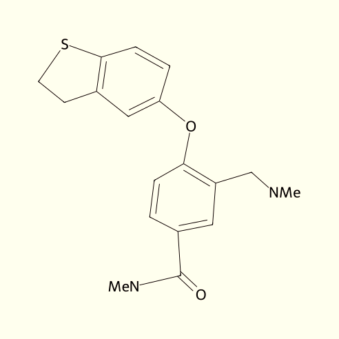 CNCc1cc(C(=O)NC)ccc1Oc1ccc2c(c1)CCS2